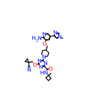 Cn1cnc(-c2cnc(N)c(OCC3CCN(c4nc(OCC5(C#N)CC5)nc(C(=O)NC5(C)CCC5)n4)CC3)c2)c1